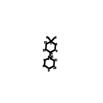 CC1(C)CCC(N2CC[CH]CC2)CC1